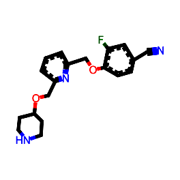 N#Cc1ccc(OCc2cccc(COC3CCNCC3)n2)c(F)c1